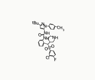 Cc1ccc(-n2nc(C(C)(C)C)cc2NC(=O)Nc2ccccc2C(C2CCNCC2)S(=O)(=O)c2ccc(F)c(Cl)c2)cc1